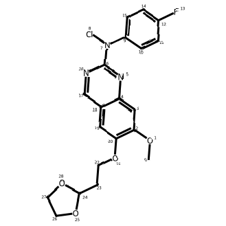 COc1cc2nc(N(Cl)c3ccc(F)cc3)ncc2cc1OCCC1OCCO1